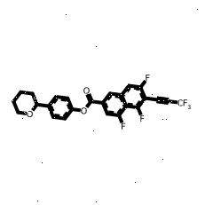 O=C(Oc1ccc(C2CCCCO2)cc1)c1cc(F)c2c(F)c(C#CC(F)(F)F)c(F)cc2c1